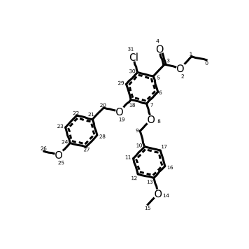 CCOC(=O)c1cc(OCc2ccc(OC)cc2)c(OCc2ccc(OC)cc2)cc1Cl